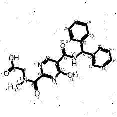 CN(CC(=O)O)C(=O)c1ncc(C(=O)NC(c2ccccc2)c2ccccc2)c(O)n1